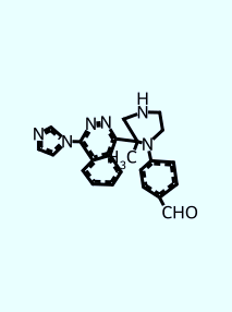 CC1(c2nnc(-n3ccnc3)c3ccccc23)CNCCN1c1ccc(C=O)cc1